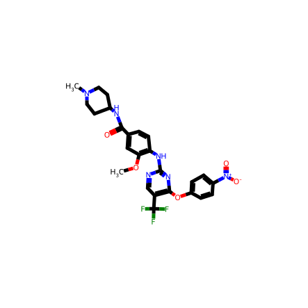 COc1cc(C(=O)NC2CCN(C)CC2)ccc1Nc1ncc(C(F)(F)F)c(Oc2ccc([N+](=O)[O-])cc2)n1